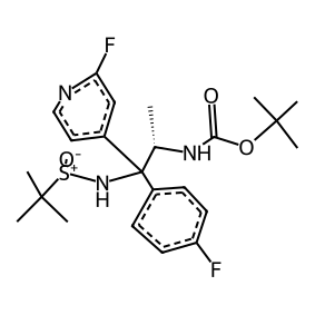 C[C@H](NC(=O)OC(C)(C)C)C(N[S+]([O-])C(C)(C)C)(c1ccc(F)cc1)c1ccnc(F)c1